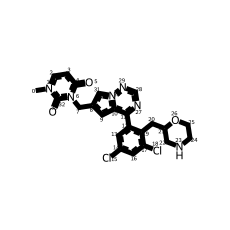 Cn1ccc(=O)n(Cc2cc3c(-c4cc(Cl)cc(Cl)c4CC4CNCCO4)ncnn3c2)c1=O